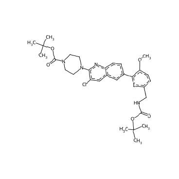 COc1ccc(CNC(=O)OC(C)(C)C)cc1-c1ccc2nc(N3CCN(C(=O)OC(C)(C)C)CC3)c(Cl)cc2c1